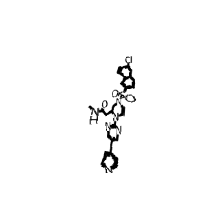 CNC(=O)CC1CN(S(=O)(=O)c2ccc3cc(Cl)ccc3c2)CCN1c1ncc(-c2ccncc2)cn1